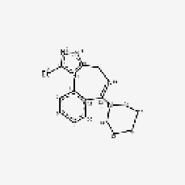 CCc1nnc2n1-c1ccccc1C(N1CCCCC1)=NC2